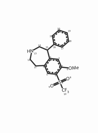 COc1cc2c(cc1S(=O)(=O)C(F)(F)F)CCNCC2c1ccccc1